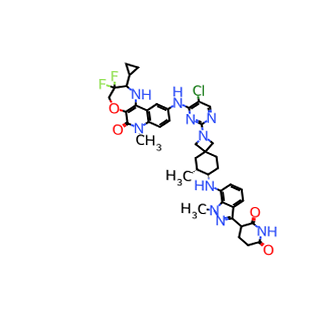 C[C@@H]1CC2(CC[C@@H]1Nc1cccc3c(C4CCC(=O)NC4=O)nn(C)c13)CN(c1ncc(Cl)c(Nc3ccc4c(c3)c3c(c(=O)n4C)OCC(F)(F)C(C4CC4)N3)n1)C2